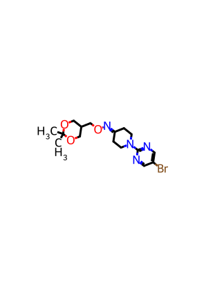 CC1(C)OCC(CON=C2CCN(c3ncc(Br)cn3)CC2)CO1